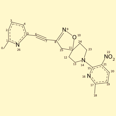 Cc1cccc(C#CC2=NOC3(CCN(c4nc(C)ccc4[N+](=O)[O-])CC3)C2)n1